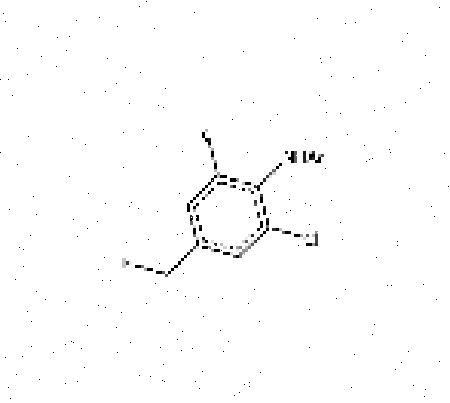 CC(=O)Nc1c(Cl)cc(CF)cc1Cl